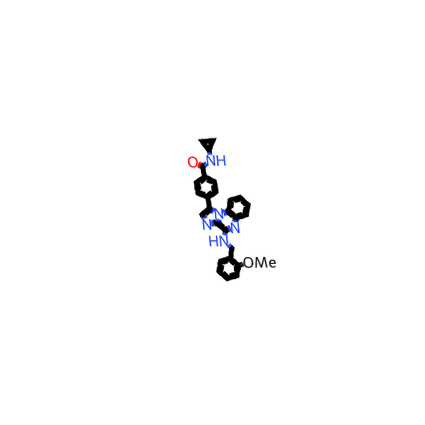 COc1ccccc1CNc1nc2ccccc2n2c(-c3ccc(C(=O)NC4CC4)cc3)cnc12